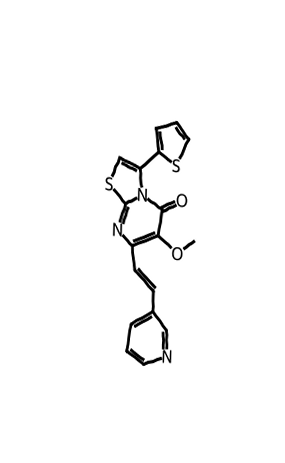 COc1c(/C=C/c2cccnc2)nc2scc(-c3cccs3)n2c1=O